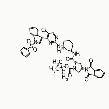 CC(C)(C)OC(=O)N1C[C@@H](N2C(=O)c3ccccc3C2=O)C[C@H]1C(=O)NC1CCC[C@@H](Nc2ncc(Cl)c(-c3cn(S(=O)(=O)c4ccccc4)c4ccccc34)n2)C1